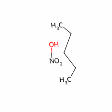 CCCCC.O=[N+]([O-])O